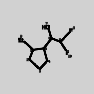 CCC1CCCC1C(O)C(F)F